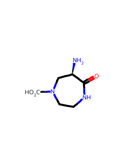 N[C@@H]1CN(C(=O)O)CCNC1=O